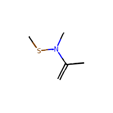 C=C(C)N(C)SC